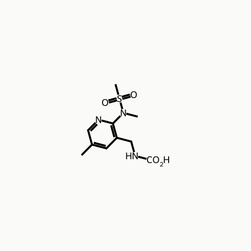 Cc1cnc(N(C)S(C)(=O)=O)c(CNC(=O)O)c1